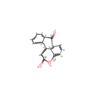 O=C1c2ccccc2-c2cc(=O)oc3cccc1c23